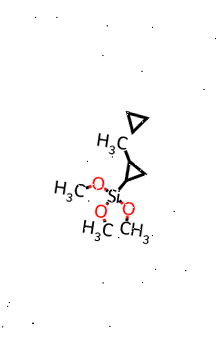 C1CC1.CO[Si](OC)(OC)C1CC1C